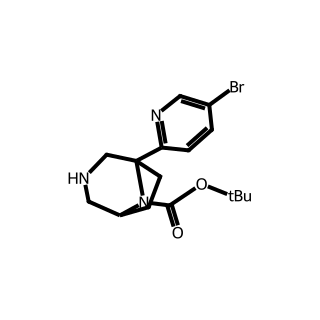 CC(C)(C)OC(=O)N1C2CCC1(c1ccc(Br)cn1)CNC2